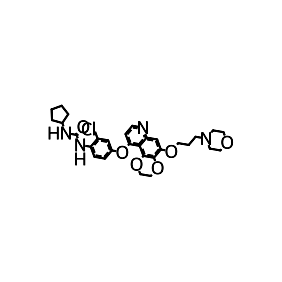 O=C(Nc1ccc(Oc2ccnc3cc(OCCCN4CCOCC4)c4c(c23)OCCO4)cc1Cl)NC1CCCC1